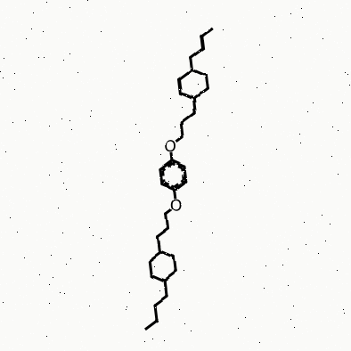 CCCCC1CCC(CCCOc2ccc(OCCCC3CCC(CCCC)CC3)cc2)CC1